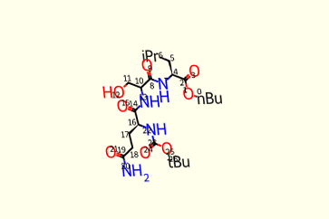 CCCCOC(=O)[C@H](CC(C)C)NC(=O)C(CO)NC(=O)[C@H](CCC(N)=O)NC(=O)OC(C)(C)C